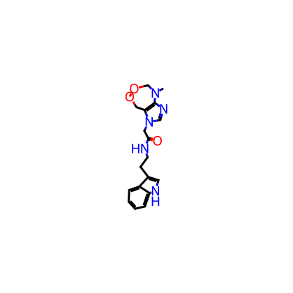 CN1COOCc2c1ncn2CC(=O)NCCc1c[nH]c2ccccc12